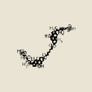 C[C@H](CCC(=O)NCCS(=O)(=O)O)[C@H]1CC[C@H]2[C@@H]3[C@@H](O)CC4C[C@H](OC(=O)CCCCCC(=O)O[C@@H]5CC[C@@]6(C)C(C5)C[C@H](O)[C@H]5[C@@H]7CC[C@H]([C@H](C)CCC(=O)NCCS(=O)(=O)O)[C@@]7(C)CC[C@@H]56)CC[C@]4(C)[C@H]3CC[C@]12C